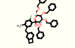 Cc1cc(F)c(C2(O)O[C@H](COCc3ccccc3)[C@@H](OCc3ccccc3)[C@H](OCc3ccccc3)[C@H]2OCc2ccccc2)cc1Cc1ccc2c(c1)CC2